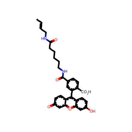 C/C=C/CNC(=O)CCCCCNC(=O)c1ccc(C(=O)O)c(-c2c3ccc(=O)cc-3oc3cc(O)ccc23)c1